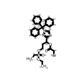 CCOP(=O)(CC)OCCC(OC(=O)CBr)c1ncn(C(c2ccccc2)(c2ccccc2)c2ccccc2)n1